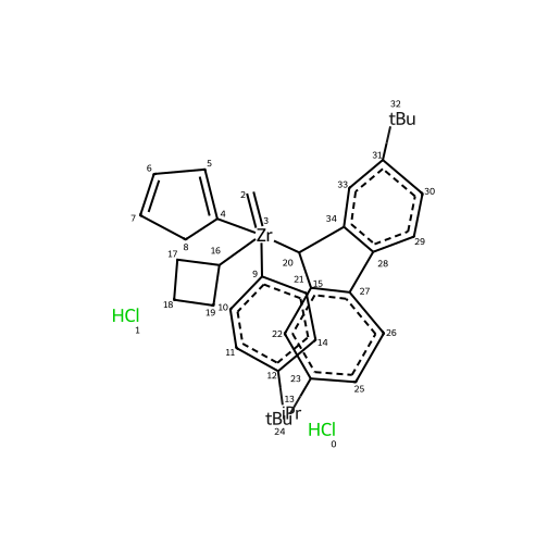 Cl.Cl.[CH2]=[Zr]([C]1=CC=CC1)([c]1ccc(C(C)C)cc1)([CH]1CCC1)[CH]1c2cc(C(C)(C)C)ccc2-c2ccc(C(C)(C)C)cc21